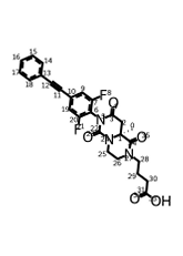 C[C@@]12CC(=O)N(c3c(F)cc(C#Cc4ccccc4)cc3F)C(=O)N1CCN(CCCC(=O)O)C2=O